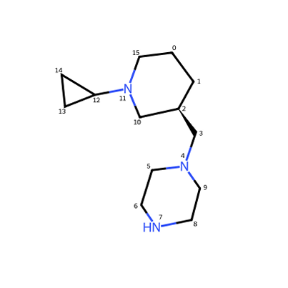 C1C[C@@H](CN2CCNCC2)CN(C2CC2)C1